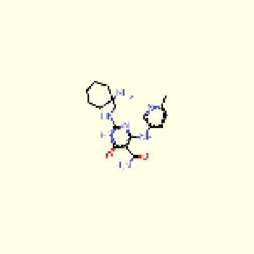 Cc1ccc(Nc2nc(NCC3(N)CCCCC3)[nH]c(=O)c2C(N)=O)cn1